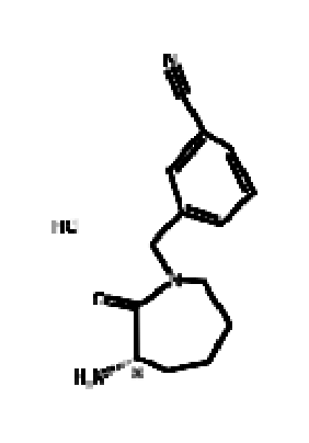 Cl.N#Cc1cccc(CN2CCCC[C@H](N)C2=O)c1